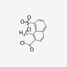 Cc1c(C(=O)Cl)ccc2cccc(S(=O)(=O)Cl)c12